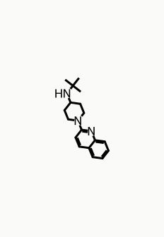 CC(C)(C)NC1CCN(c2ccc3ccccc3n2)CC1